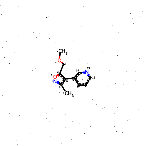 COCc1onc(C)c1-c1cccnc1